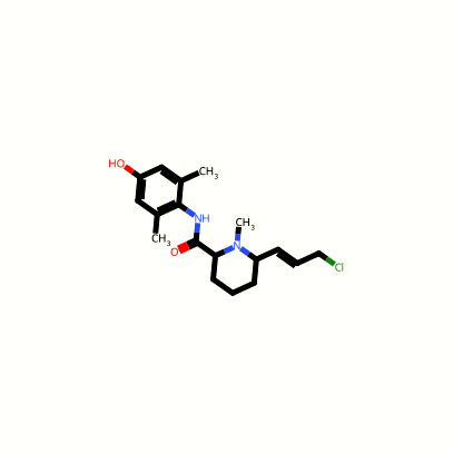 Cc1cc(O)cc(C)c1NC(=O)C1CCCC(/C=C/CCl)N1C